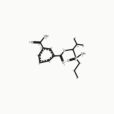 CCCP(=O)(O)C(OC(=O)c1cccc(C(=O)O)c1)C(C)C